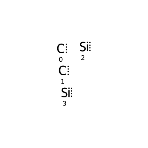 [C].[C].[Si].[Si]